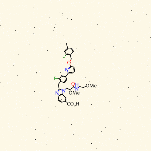 COCCNC(=O)[C@@H](Cn1c(Cc2ccc(-c3cccc(OCc4ccc(C)cc4F)n3)cc2F)nc2ccc(C(=O)O)cc21)OC